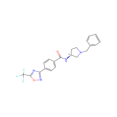 O=C(N[C@H]1CCN(Cc2ccccc2)C1)c1ccc(-c2noc(C(F)(F)F)n2)cc1